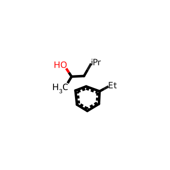 CC(C)CC(C)O.CCc1ccccc1